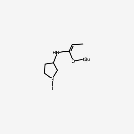 CC=C(NC1CCN(I)C1)OC(C)(C)C